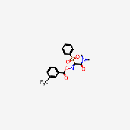 CN(C)C(=O)/C(=N/OC(=O)c1cccc(C(F)(F)F)c1)S(=O)(=O)c1ccccc1